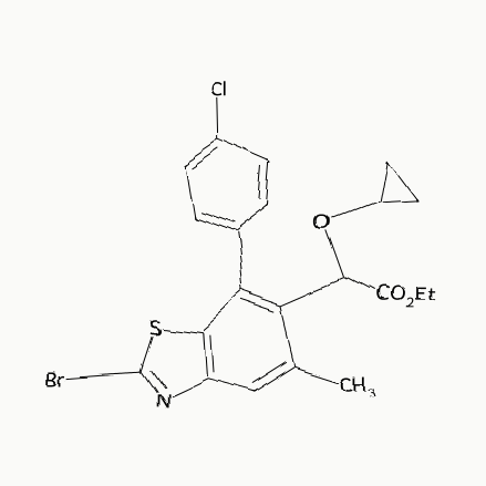 CCOC(=O)C(OC1CC1)c1c(C)cc2nc(Br)sc2c1-c1ccc(Cl)cc1